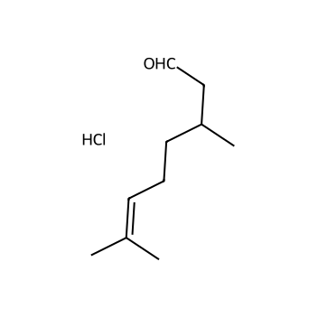 CC(C)=CCCC(C)CC=O.Cl